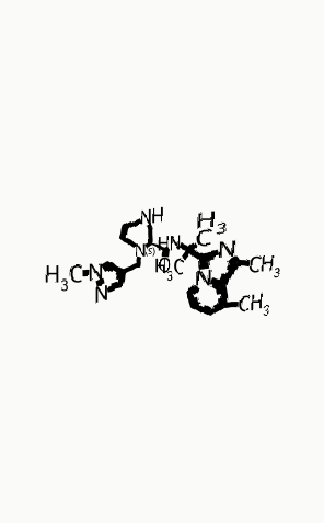 Cc1cccn2c(C(C)(C)NC(=O)[C@@H]3CNCCN3Cc3cnn(C)c3)nc(C)c12